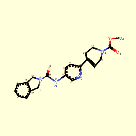 CC(C)(C)OC(=O)N1CC=C(c2ccc(NC(=O)N3Cc4ccccc4C3)cn2)CC1